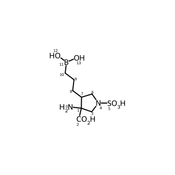 NC1(C(=O)O)CN(S(=O)(=O)O)CC1CCCB(O)O